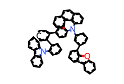 c1cc(-c2cccc3c2oc2ccccc23)cc(N(c2ccc(-c3ccccc3-c3ccccc3-n3c4ccccc4c4ccccc43)cc2)c2cccc3ccc4ccccc4c23)c1